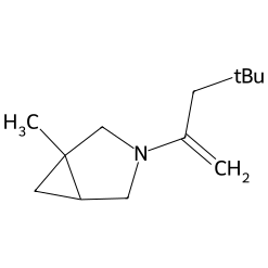 C=C(CC(C)(C)C)N1CC2CC2(C)C1